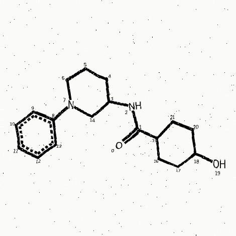 O=C(NC1CCCN(c2ccccc2)C1)C1CCC(O)CC1